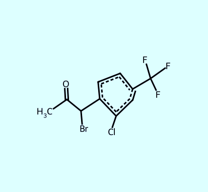 CC(=O)C(Br)c1ccc(C(F)(F)F)cc1Cl